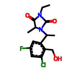 CCN1C(=O)C(C)N(C(C)c2cc(F)cc(Cl)c2CO)C1=O